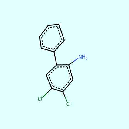 Nc1cc(Cl)c(Cl)cc1-c1ccccc1